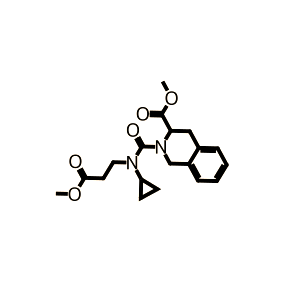 COC(=O)CCN(C(=O)N1Cc2ccccc2CC1C(=O)OC)C1CC1